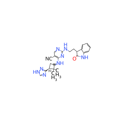 CC1(C)[C@@H](c2nc[nH]n2)C[C@H]1Nc1nc(NCCC2C(=O)Nc3ccccc32)ncc1C#N